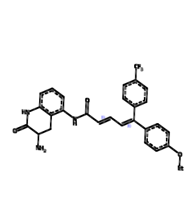 CCOc1ccc(/C(=C/C=C/C(=O)Nc2cccc3c2CC(N)C(=O)N3)c2ccc(C(F)(F)F)cc2)cc1